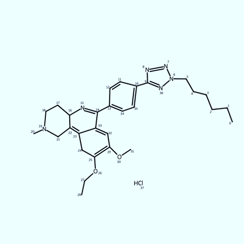 CCCCCCn1nnc(-c2ccc(C3=NC4CCN(C)CC4=C4CC(OCC)=C(OC)C=C34)cc2)n1.Cl